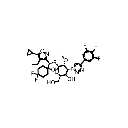 CCc1c([C@@H](S[C@@H]2O[C@H](CO)[C@H](O)[C@H](n3cc(-c4cc(F)c(F)c(F)c4)nn3)[C@H]2OC)C2(O)CCC(F)(F)CC2)noc1C1CC1